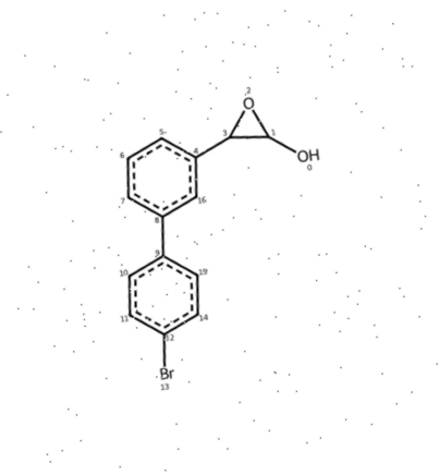 OC1OC1c1cccc(-c2ccc(Br)cc2)c1